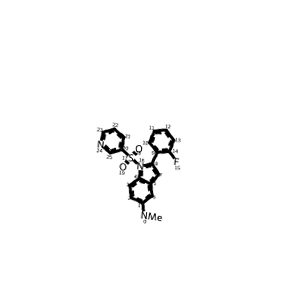 CNc1ccc2c(c1)cc(-c1ccccc1F)n2S(=O)(=O)c1cccnc1